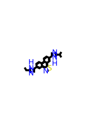 CCc1ncc(-c2ccc3c4ccc(-c5cnc(C(C)C)[nH]5)cc4c4scnc4c3c2)[nH]1